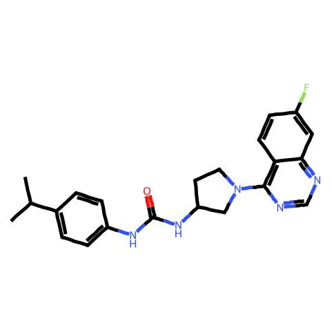 CC(C)c1ccc(NC(=O)NC2CCN(c3ncnc4cc(F)ccc34)C2)cc1